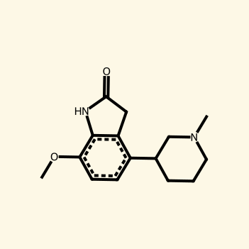 COc1ccc(C2CCCN(C)C2)c2c1NC(=O)C2